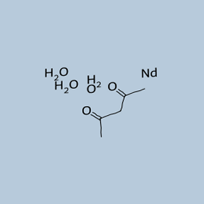 CC(=O)CC(C)=O.O.O.O.[Nd]